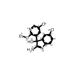 CCOc1ncc(Cl)cc1C1(O)C(N)=Nc2ccc(Cl)cc21